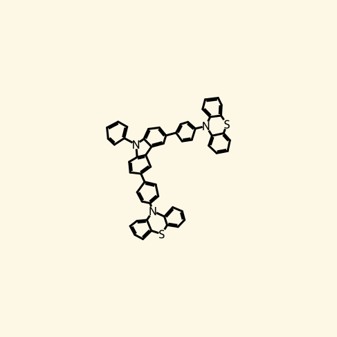 c1ccc(-n2c3ccc(-c4ccc(N5c6ccccc6Sc6ccccc65)cc4)cc3c3cc(-c4ccc(N5c6ccccc6Sc6ccccc65)cc4)ccc32)cc1